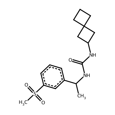 CC(NC(=O)NC1CC2(CCC2)C1)c1cccc(S(C)(=O)=O)c1